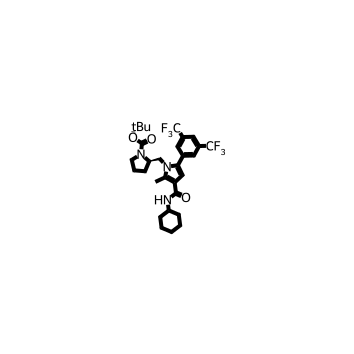 Cc1c(C(=O)NC2CCCCC2)cc(-c2cc(C(F)(F)F)cc(C(F)(F)F)c2)n1C[C@H]1CCCN1C(=O)OC(C)(C)C